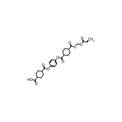 C=CC(=O)OCOC(=O)C1CCC(C(=O)Oc2ccc(OC(=O)C3CCC(C(=O)O)CC3)cc2)CC1